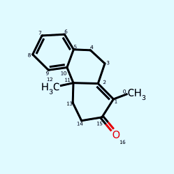 CC1=C2CCc3ccccc3C2(C)CCC1=O